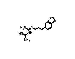 N=C(N)NC(N)=NCCCc1ccc2c(c1)OCO2